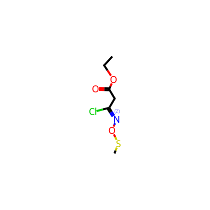 CCOC(=O)C/C(Cl)=N/OSC